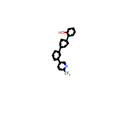 Oc1ccccc1-c1ccc(-c2cccc(-c3ccc(C(F)(F)F)nc3)c2)cc1